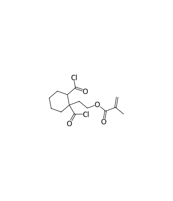 C=C(C)C(=O)OCCC1(C(=O)Cl)CCCCC1C(=O)Cl